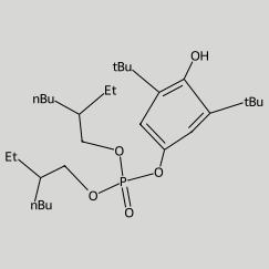 CCCCC(CC)COP(=O)(OCC(CC)CCCC)Oc1cc(C(C)(C)C)c(O)c(C(C)(C)C)c1